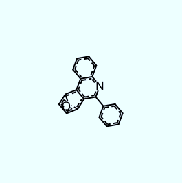 c1ccc(-c2nc3ccccc3c3c4ccc(o4)c23)cc1